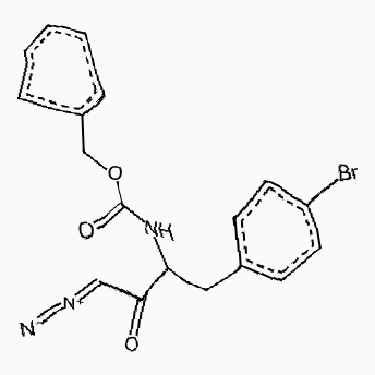 [N-]=[N+]=CC(=O)C(Cc1ccc(Br)cc1)NC(=O)OCc1ccccc1